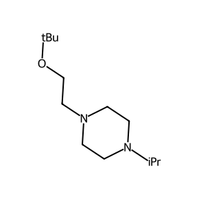 CC(C)N1CCN(CCOC(C)(C)C)CC1